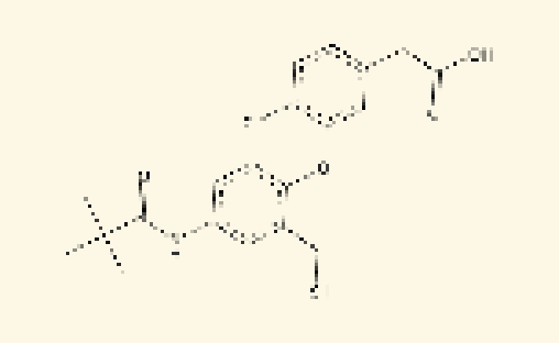 CC(C)(C)C(=O)Nc1ccc(Oc2cc(CC(=O)O)ccc2Cl)c(CS)c1